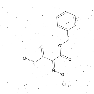 CO/N=C(/C(=O)CCl)C(=O)OCc1ccccc1